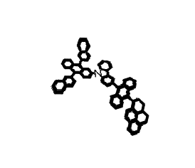 C1=CC2c3cc(-c4c5ccccc5c(C5=c6ccc7cccc8c7c6C(CC=8)CC5)c5ccccc45)ccc3N(c3ccc4c(-c5ccc6ccccc6c5)c5ccccc5c(-c5ccc6ccccc6c5)c4c3)C2C=C1